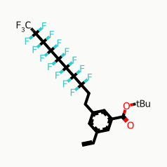 C=Cc1cc(CCC(F)(F)C(F)(F)C(F)(F)C(F)(F)C(F)(F)C(F)(F)C(F)(F)C(F)(F)F)cc(C(=O)OC(C)(C)C)c1